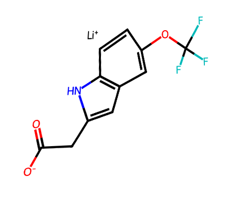 O=C([O-])Cc1cc2cc(OC(F)(F)F)ccc2[nH]1.[Li+]